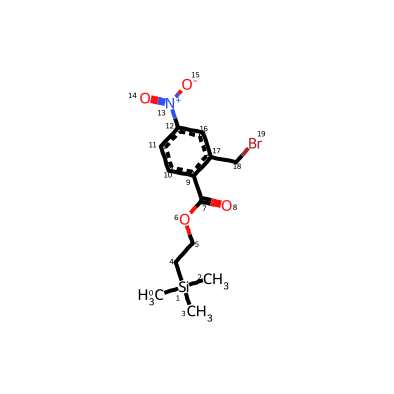 C[Si](C)(C)CCOC(=O)c1ccc([N+](=O)[O-])cc1CBr